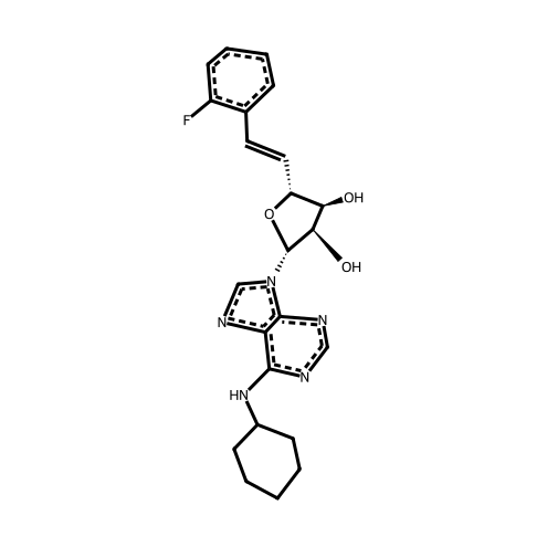 O[C@@H]1[C@H](O)[C@@H](C=Cc2ccccc2F)O[C@H]1n1cnc2c(NC3CCCCC3)ncnc21